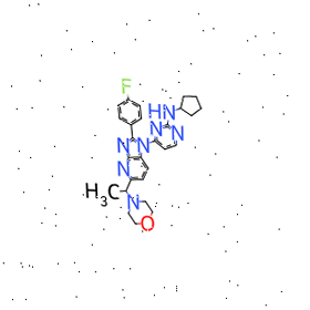 CC(c1ccc2c(n1)nc(-c1ccc(F)cc1)n2-c1ccnc(NC2CCCC2)n1)N1CCOCC1